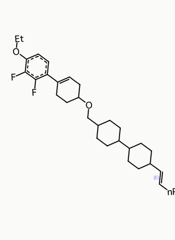 CCC/C=C/C1CCC(C2CCC(COC3CC=C(c4ccc(OCC)c(F)c4F)CC3)CC2)CC1